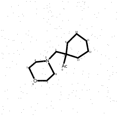 CC(=O)C1(CN2CCOCC2)CCCCC1